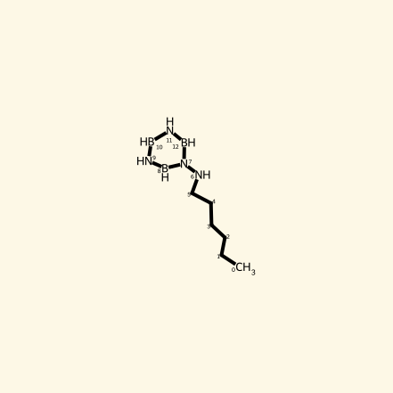 CCCCCCNN1BNBNB1